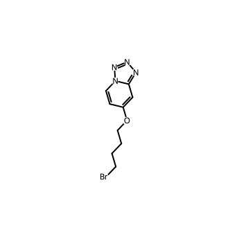 BrCCCCOc1ccn2nnnc2c1